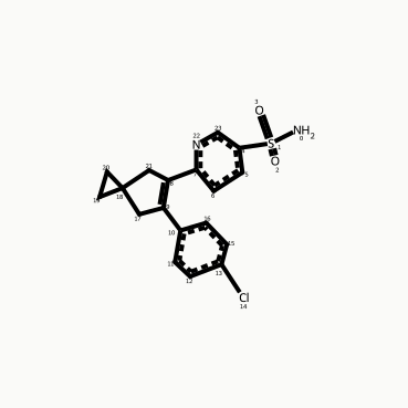 NS(=O)(=O)c1ccc(C2=C(c3ccc(Cl)cc3)CC3(CC3)C2)nc1